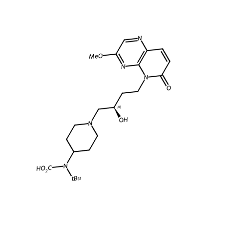 COc1cnc2ccc(=O)n(CC[C@@H](O)CN3CCC(N(C(=O)O)C(C)(C)C)CC3)c2n1